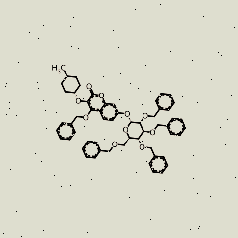 C[C@H]1CC[C@H](Oc2c(OCc3ccccc3)c3ccc(O[C@H]4O[C@H](COCc5ccccc5)[C@@H](OCc5ccccc5)[C@H](OCc5ccccc5)[C@@H]4OCc4ccccc4)cc3oc2=O)CC1